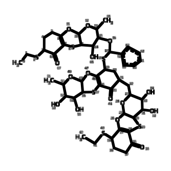 CCSC1CCC2=C(SC3C(O2)OC(C)C(OC(SC2CC(CC4OC5OC6=C(SC5C(O)C4O)C(=O)CCC6SCC)C(=O)C4=C2OC2OC(C)C(O)C(O)C2S4)c2ccccc2)C3O)C1=O